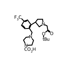 CC(C)(C)OC(=O)CN1CCC(c2cc(C(F)(F)F)ccc2CN2CCN(C(=O)O)CC2)C1